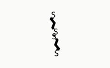 S=CCCSSCCC=S